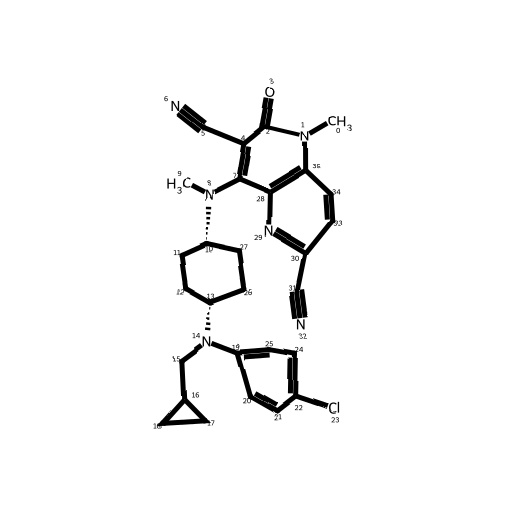 Cn1c(=O)c(C#N)c(N(C)[C@H]2CC[C@@H](N(CC3CC3)c3ccc(Cl)cc3)CC2)c2nc(C#N)ccc21